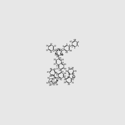 c1ccc(-c2ccc(-c3nc(-c4ccccc4)nc(-c4ccc5cc(-c6cc(-c7cccc8oc9ccccc9c78)cc7c6-c6ccccc6C76C7CC8CC(C7)CC6C8)ccc5c4)n3)cc2)cc1